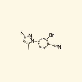 Cc1cc(C)n(-c2ccc(C#N)c(Br)c2)n1